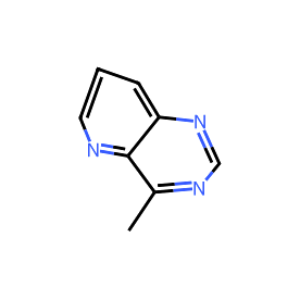 Cc1ncnc2cccnc12